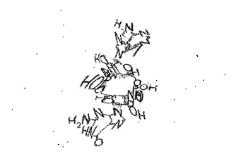 NC1=NC2C(N=CN2[C@@H]2O[C@@H]3COP(=O)(O)N[C@H]4[C@@H](O)[C@H](n5cnc6c(N)ncnc65)O[C@@H]4COP(=O)(O)N[C@H]3[C@H]2O)C(=O)N1